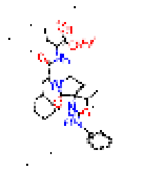 CC[C@H](NC(=O)[C@H](CC1CCCCC1)N1CCC(NC(=O)Nc2ccccc2)(C(C)C)C1=O)B(O)O